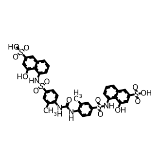 Cc1cc(S(=O)(=O)Nc2cccc3cc(S(=O)(=O)O)cc(O)c23)ccc1NC(=O)Nc1ccc(S(=O)(=O)Nc2cccc3cc(S(=O)(=O)O)cc(O)c23)cc1C